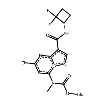 CN(C(=O)OC(C)(C)C)c1cc(Cl)nc2c(C(=O)N[C@H]3CCC3(F)F)cnn12